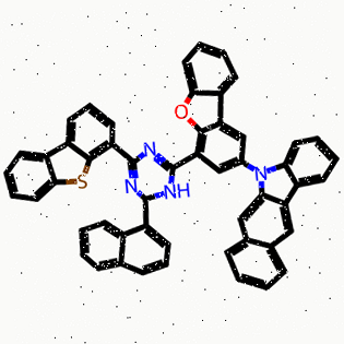 c1ccc2cc3c(cc2c1)c1ccccc1n3-c1cc(C2=NC(c3cccc4c3sc3ccccc34)=NC(c3cccc4ccccc34)N2)c2oc3ccccc3c2c1